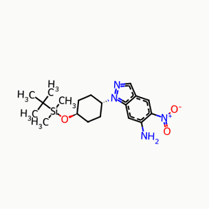 CC(C)(C)[Si](C)(C)O[C@H]1CC[C@H](n2ncc3cc([N+](=O)[O-])c(N)cc32)CC1